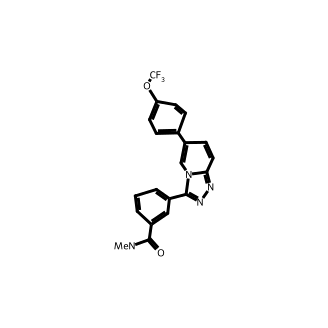 CNC(=O)c1cccc(-c2nnc3ccc(-c4ccc(OC(F)(F)F)cc4)cn23)c1